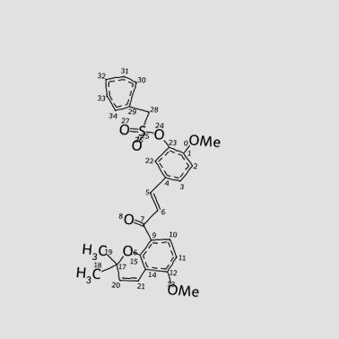 COc1ccc(C=CC(=O)c2ccc(OC)c3c2OC(C)(C)C=C3)cc1OS(=O)(=O)Cc1ccccc1